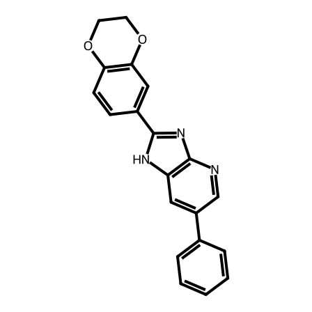 c1ccc(-c2cnc3nc(-c4ccc5c(c4)OCCO5)[nH]c3c2)cc1